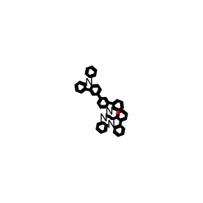 c1ccc(-c2ccccc2-c2nc3ccccc3nc2-n2c3ccccc3c3cc(-c4ccc5c(c4)c4ccccc4n5-c4ccccc4)ccc32)cc1